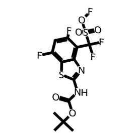 CC(C)(C)OC(=O)Nc1nc2c(C(F)(F)S(=O)(=O)OF)c(F)cc(F)c2s1